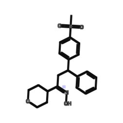 CS(=O)(=O)c1ccc(C(C/C(=N/O)C2CCOCC2)c2ccccc2)cc1